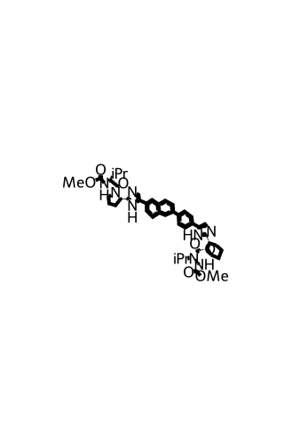 COC(=O)N[C@H](C(=O)N1CCC[C@H]1c1ncc(-c2ccc3cc(-c4ccc(-c5cnc([C@@H]6C7CCC(O7)[C@@H]6C(=O)N(NC(=O)OC)C(C)C)[nH]5)cc4)ccc3c2)[nH]1)C(C)C